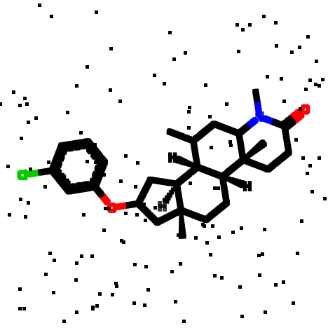 CC1CC2N(C)C(=O)CC[C@]2(C)[C@@H]2CC[C@]3(C)CC(Oc4cccc(Cl)c4)C[C@H]3[C@H]12